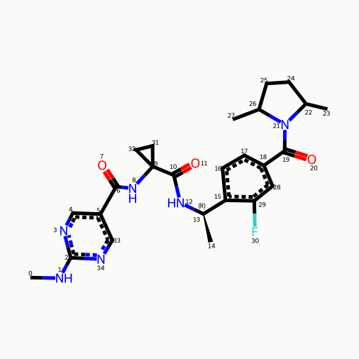 CNc1ncc(C(=O)NC2(C(=O)N[C@H](C)c3ccc(C(=O)N4C(C)CCC4C)cc3F)CC2)cn1